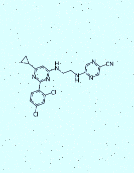 N#Cc1cnc(NCCNc2cc(C3CC3)nc(-c3ccc(Cl)cc3Cl)n2)cn1